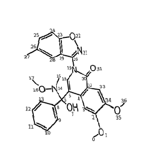 COc1cc2c(C(O)(c3ccccc3)N(C)OC)cn(-c3noc4ccc(C)cc34)c(=O)c2cc1OC